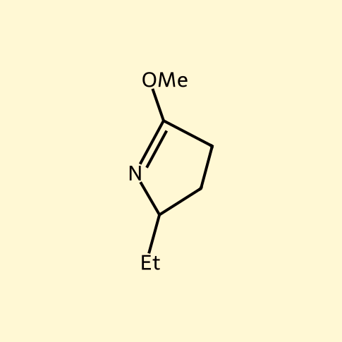 CCC1CCC(OC)=N1